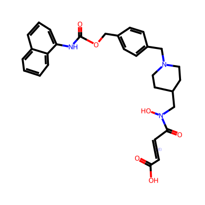 O=C(O)/C=C/C(=O)N(O)CC1CCN(Cc2ccc(COC(=O)Nc3cccc4ccccc34)cc2)CC1